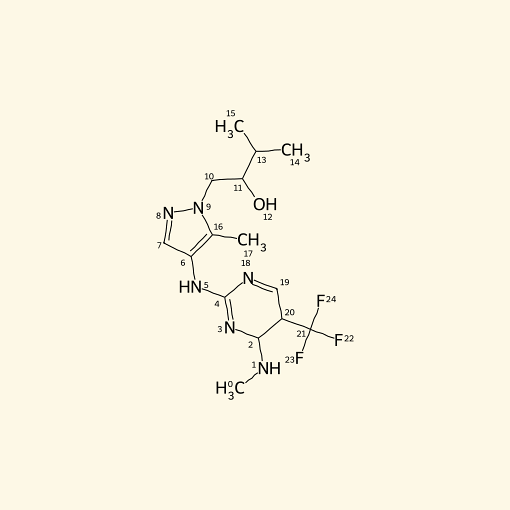 CNC1N=C(Nc2cnn(CC(O)C(C)C)c2C)N=CC1C(F)(F)F